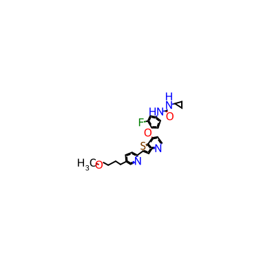 COCCCCc1ccc(-c2cc3nccc(Oc4ccc(NC(=O)NC5CC5)cc4F)c3s2)nc1